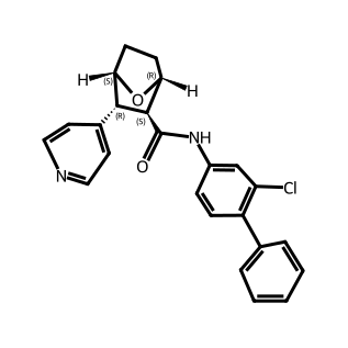 O=C(Nc1ccc(-c2ccccc2)c(Cl)c1)[C@H]1[C@H](c2ccncc2)[C@@H]2CC[C@H]1O2